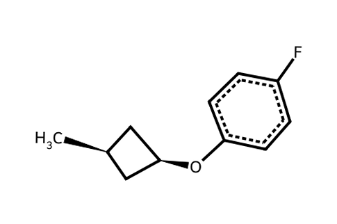 C[C@H]1C[C@@H](Oc2ccc(F)cc2)C1